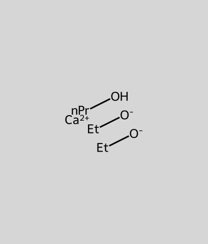 CCCO.CC[O-].CC[O-].[Ca+2]